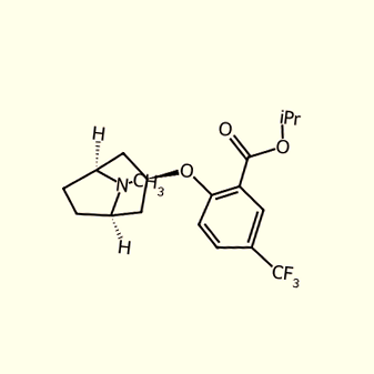 CC(C)OC(=O)c1cc(C(F)(F)F)ccc1O[C@H]1C[C@H]2CC[C@@H](C1)N2C